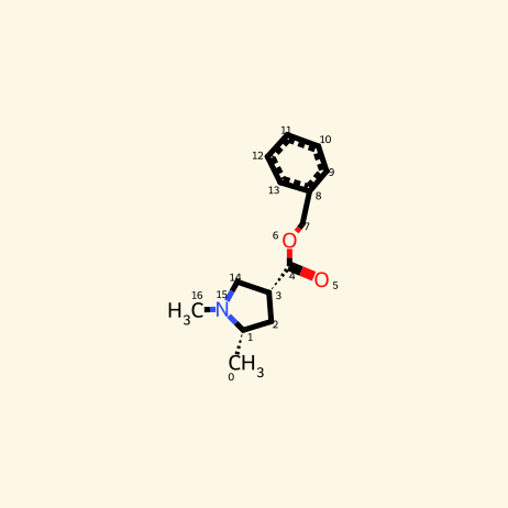 C[C@H]1C[C@@H](C(=O)OCc2ccccc2)CN1C